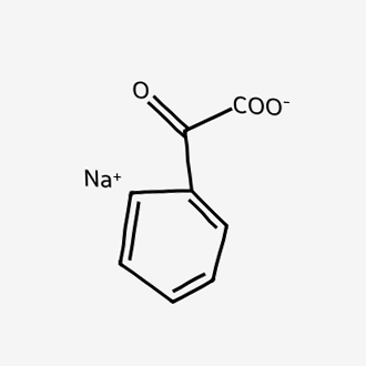 O=C([O-])C(=O)c1ccccc1.[Na+]